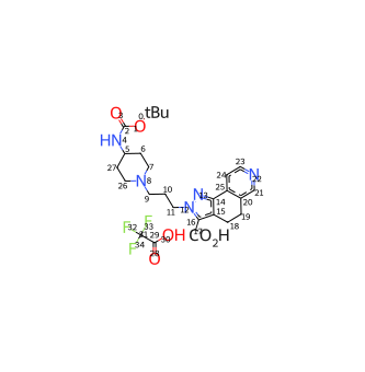 CC(C)(C)OC(=O)NC1CCN(CCCn2nc3c(c2C(=O)O)CCc2cnccc2-3)CC1.O=C(O)C(F)(F)F